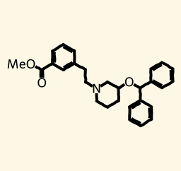 COC(=O)c1cccc(CCN2CCCC(OC(c3ccccc3)c3ccccc3)C2)c1